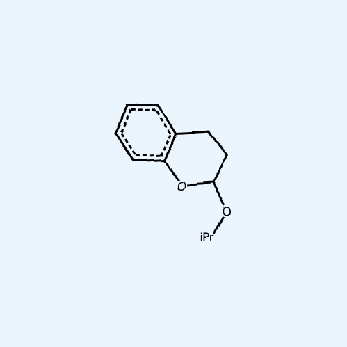 CC(C)OC1CCc2ccccc2O1